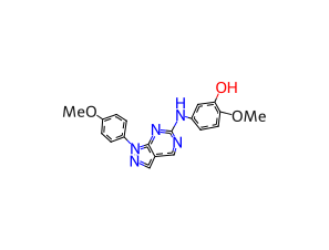 COc1ccc(-n2ncc3cnc(Nc4ccc(OC)c(O)c4)nc32)cc1